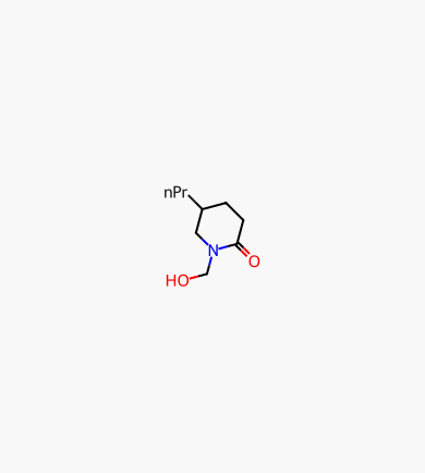 CCCC1CCC(=O)N(CO)C1